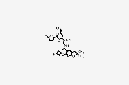 CC=CC[C@H](NC(=O)[C@H]1CCC(=O)O1)[C@H](O)CN[C@H]1C[C@]2(C[C@H](F)C2)Oc2ncc(CC(C)(C)C)cc21